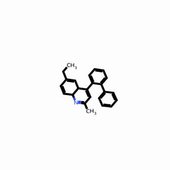 CCC1=CC2C(c3ccccc3-c3ccccc3)=CC(C)=NC2C=C1